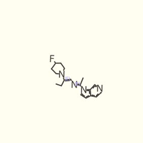 CC/C(=C\N=C(/C)n1ccc2ccncc21)N1CCC(F)CC1